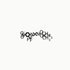 CC(C)(C)OC(=O)N1CC2(C1)CN(c1ccc([N+](=O)[O-])cc1C(F)(F)F)C2